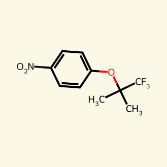 CC(C)(Oc1ccc([N+](=O)[O-])cc1)C(F)(F)F